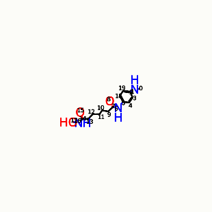 CNc1ccc(NC(=O)CCCCCC(=O)NO)cc1